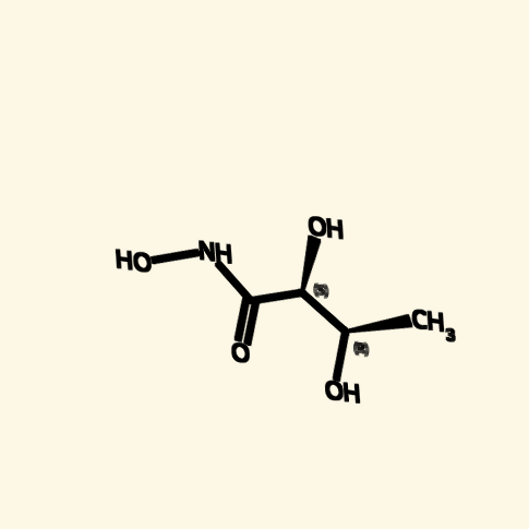 C[C@@H](O)[C@H](O)C(=O)NO